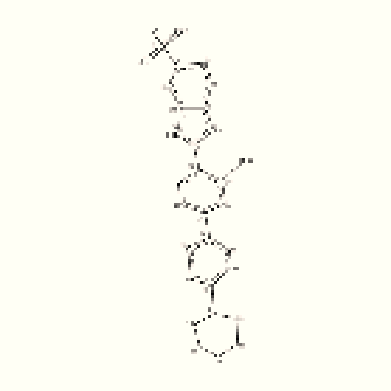 CS(=O)(=O)c1ccc2nc(-c3ccc(-c4ccc(C5CCCCC5)cc4)cc3F)[nH]c2c1